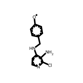 COc1ccc(CNc2ccnc(Cl)c2N)cc1